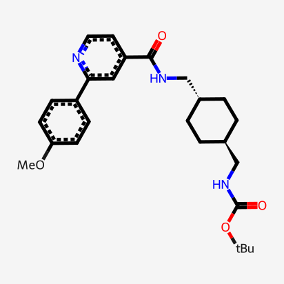 COc1ccc(-c2cc(C(=O)NC[C@H]3CC[C@H](CNC(=O)OC(C)(C)C)CC3)ccn2)cc1